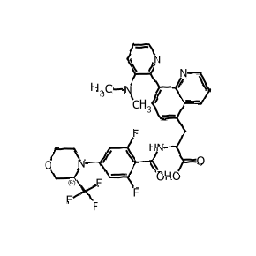 CN(C)c1cccnc1-c1ccc(CC(NC(=O)c2c(F)cc(N3CCOC[C@@H]3C(F)(F)F)cc2F)C(=O)O)c2cccnc12